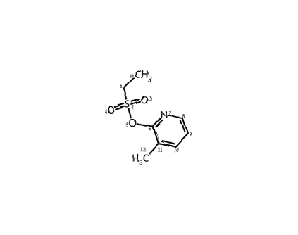 CCS(=O)(=O)Oc1ncccc1C